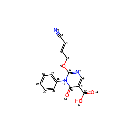 N#CC=CCOc1ncc(C(=O)O)c(=O)n1-c1ccccc1